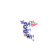 CC(CCO)n1nc(N2CCC2)c2cnc(Nc3ccnc(-c4c[nH]n(C)c4=O)n3)cc21